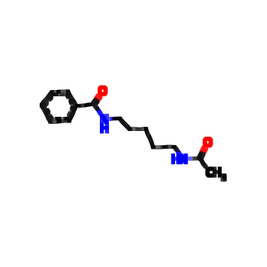 CC(=O)NCCCCCNC(=O)c1ccccc1